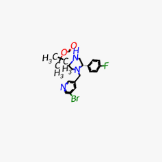 CC(C)(C)OC=O.Fc1ccc([C@H]2CNCCN2Cc2cncc(Br)c2)cc1